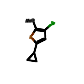 COc1sc(C2CC2)cc1Br